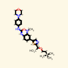 CN1OC(Nc2ccc(N3CCOCC3)cc2)=Nc2ccc(-c3cnc(C(OCC[Si](C)(C)C)C(=O)O)s3)cc21